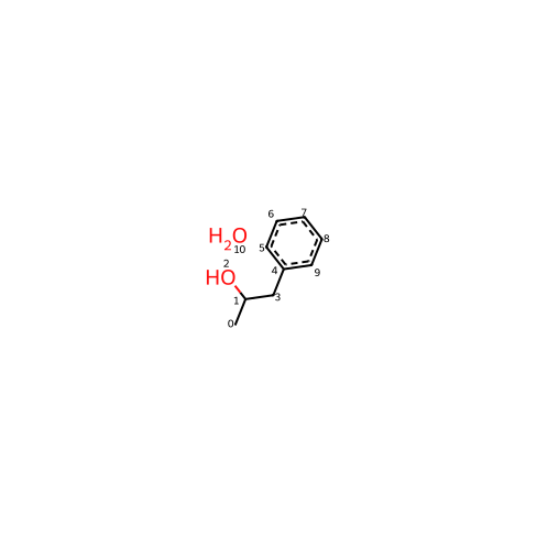 CC(O)Cc1ccccc1.O